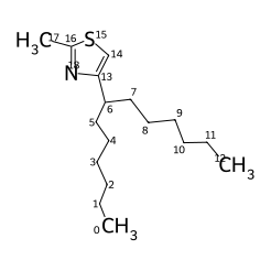 CCCCCCC(CCCCCC)c1csc(C)n1